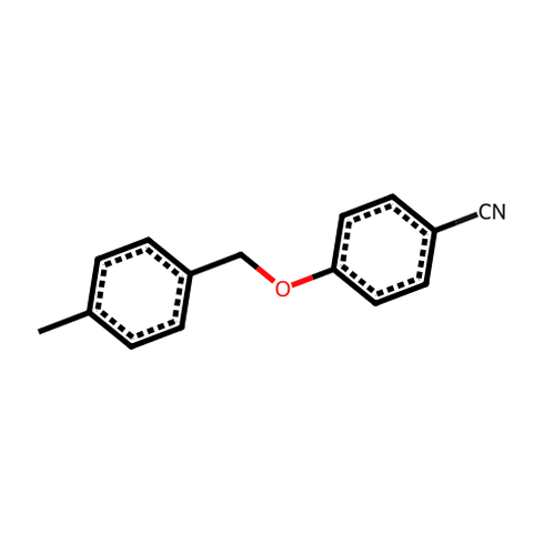 Cc1ccc(COc2ccc(C#N)cc2)cc1